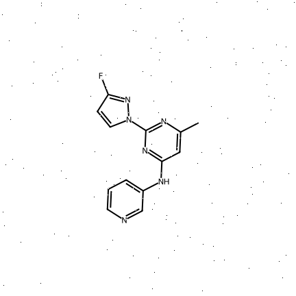 Cc1cc(Nc2cccnc2)nc(-n2ccc(F)n2)n1